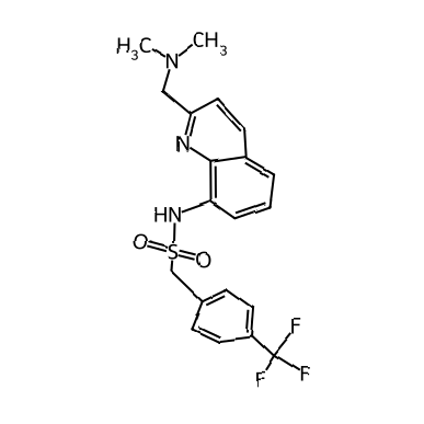 CN(C)Cc1ccc2cccc(NS(=O)(=O)Cc3ccc(C(F)(F)F)cc3)c2n1